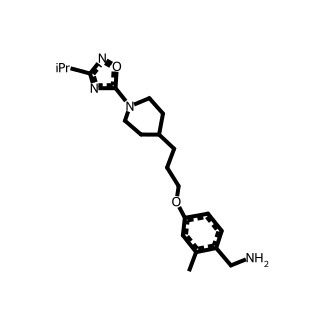 Cc1cc(OCCCC2CCN(c3nc(C(C)C)no3)CC2)ccc1CN